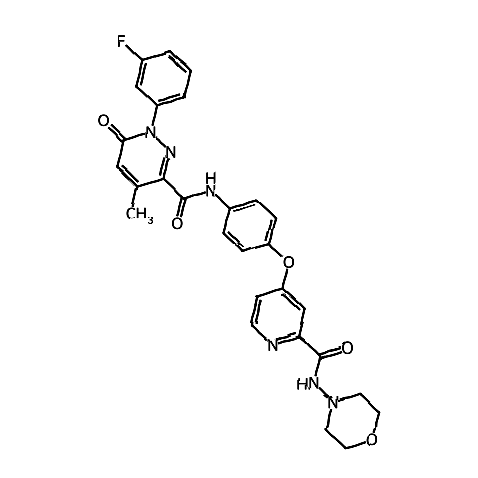 Cc1cc(=O)n(-c2cccc(F)c2)nc1C(=O)Nc1ccc(Oc2ccnc(C(=O)NN3CCOCC3)c2)cc1